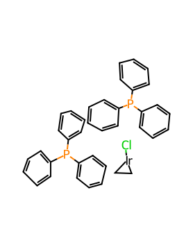 [Cl][Ir]1[CH2][CH2]1.c1ccc(P(c2ccccc2)c2ccccc2)cc1.c1ccc(P(c2ccccc2)c2ccccc2)cc1